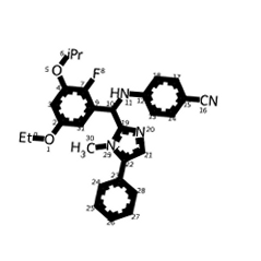 CCOc1cc(OC(C)C)c(F)c(C(Nc2ccc(C#N)cc2)c2ncc(-c3ccccc3)n2C)c1